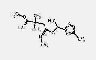 C=C(OC)C(C)(C)C/C(=N/C)OC(C)c1nc(C)cs1